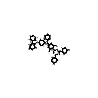 Cc1cc(-n2c3ccccc3c3cc(-n4c5ccccc5c5ccccc54)ccc32)cc(C)c1-c1nc(-c2ccccc2)nc(-c2ccccc2)n1